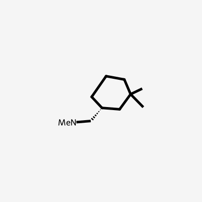 CNC[C@@H]1CCCC(C)(C)C1